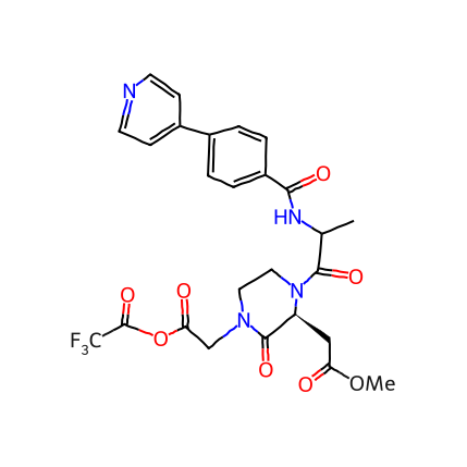 COC(=O)C[C@H]1C(=O)N(CC(=O)OC(=O)C(F)(F)F)CCN1C(=O)C(C)NC(=O)c1ccc(-c2ccncc2)cc1